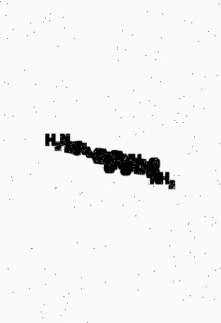 CC(C)(N)C(=O)N1CCN(C(=O)Nc2ccn(-c3ccc(CCN4CC5CC(N)C5C4)cc3)c(=O)n2)CC1